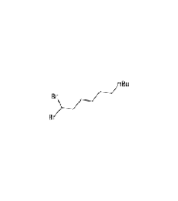 CCCCCCCCC[C](Br)Br